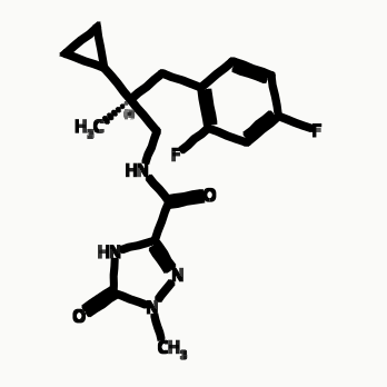 Cn1nc(C(=O)NC[C@](C)(Cc2ccc(F)cc2F)C2CC2)[nH]c1=O